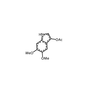 COc1cc2[nH]cc(OC(C)=O)c2cc1OC